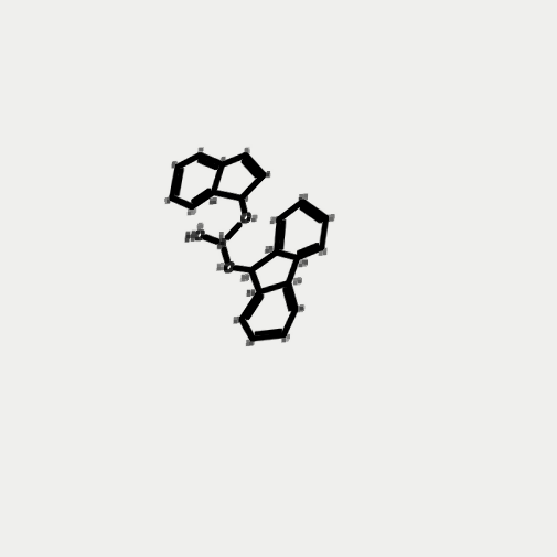 OB(OC1C=Cc2ccccc21)OC1c2ccccc2-c2ccccc21